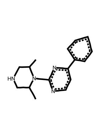 CC1CNCC(C)N1c1nccc(-c2ccccc2)n1